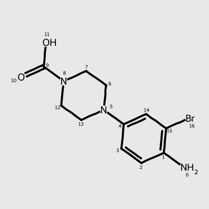 Nc1ccc(N2CCN(C(=O)O)CC2)cc1Br